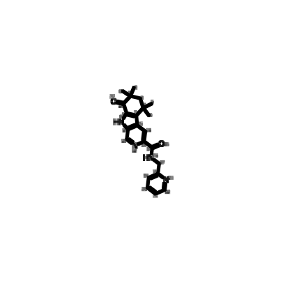 CC1(C)CC(C)(C)c2c([nH]c3cnc(C(=O)NCc4ccccn4)cc23)C1=O